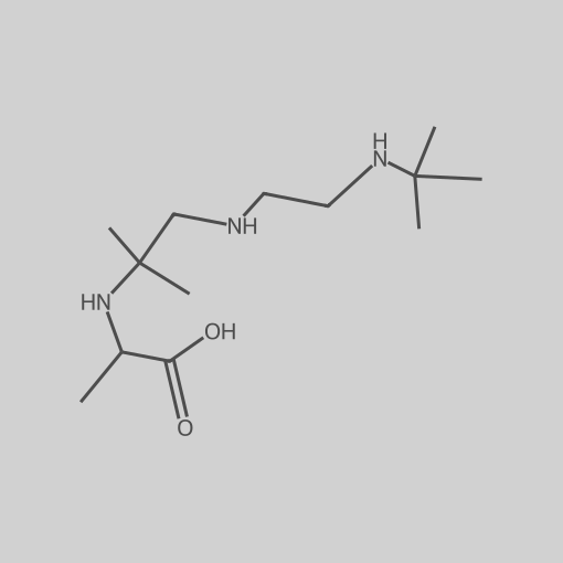 CC(NC(C)(C)CNCCNC(C)(C)C)C(=O)O